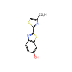 O=C(O)c1csc(-c2nc3ccc(O)cc3s2)n1